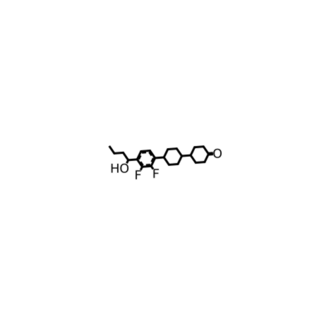 CCCC(O)c1ccc(C2CCC(C3CCC(=O)CC3)CC2)c(F)c1F